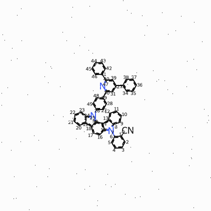 N#Cc1ccccc1-n1c2ccccc2c2c1ccc1c3ccccc3n(-c3ccc(-c4cc(-c5ccccc5)cc(-c5ccccc5)n4)cc3)c12